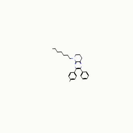 CCOC(=O)CCCCCCN1CCCc2nc(-c3ccccc3)c(-c3ccc(C)cc3)nc21